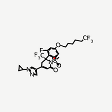 CS(=O)(=O)N1C(=O)C=C(c2cnn(C3CC3)c2)CC1(c1ccc(OCCCCCC(F)(F)F)cc1F)C(F)(F)F